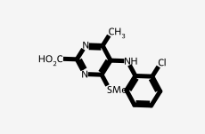 CSc1nc(C(=O)O)nc(C)c1Nc1ccccc1Cl